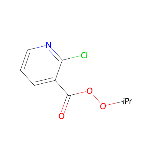 CC(C)OOC(=O)c1cccnc1Cl